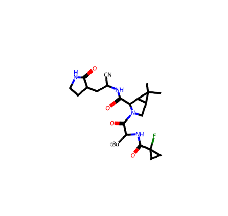 CC(C)(C)C(NC(=O)C1(F)CC1)C(=O)N1CC2C(C1C(=O)NC(C#N)CC1CCNC1=O)C2(C)C